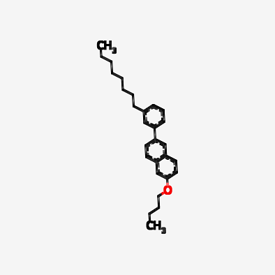 CCCCCCCCc1cccc(-c2ccc3cc(OCCCC)ccc3c2)c1